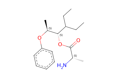 CCC(CC)[C@H](OC(=O)[C@H](C)N)[C@H](C)Oc1ccccc1